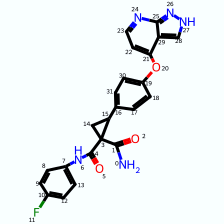 NC(=O)C1(C(=O)Nc2ccc(F)cc2)CC1c1ccc(Oc2ccnc3n[nH]cc23)cc1